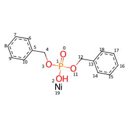 O=P(O)(OCc1ccccc1)OCc1ccccc1.[Ni]